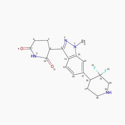 CCn1nc(C2CCC(=O)NC2=O)c2ccc(C3CCNCC3(F)F)cc21